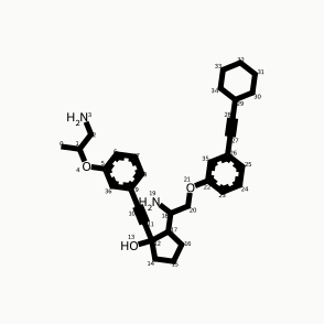 CC(CN)Oc1cccc(C#CC2(O)CCCC2C(N)COc2cccc(C#CC3CCCCC3)c2)c1